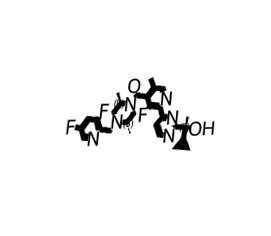 Cc1cnc(-c2ccnc([C@](C)(O)C3CC3)n2)c(F)c1C(=O)N1C[C@H](C)N(Cc2ncc(F)cc2F)C[C@H]1C